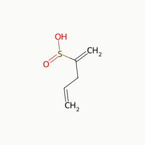 C=CCC(=C)S(=O)O